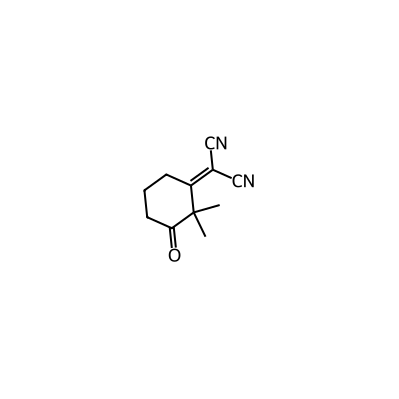 CC1(C)C(=O)CCCC1=C(C#N)C#N